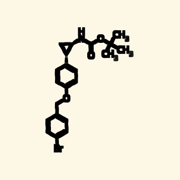 CC(C)(C)OC(=O)N[C@@H]1C[C@H]1c1ccc(OCc2ccc(Br)cc2)cc1